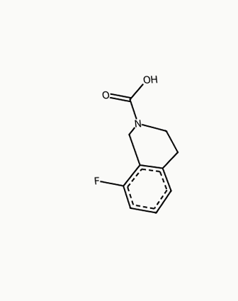 O=C(O)N1CCc2cccc(F)c2C1